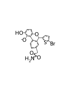 COc1c(O)ccc2c1-c1ccc(CS(N)(=O)=O)cc1C(c1ccc(Br)s1)O2